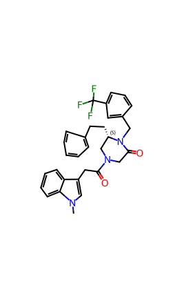 Cn1cc(CC(=O)N2CC(=O)N(Cc3cccc(C(F)(F)F)c3)[C@@H](CCc3ccccc3)C2)c2ccccc21